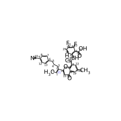 C/C=C(\CCCc1ccc(C#N)cc1)c1cc(=O)c2cc(C)cc(C(C)Bc3ccc(F)c(F)c3C(=O)O)c2o1